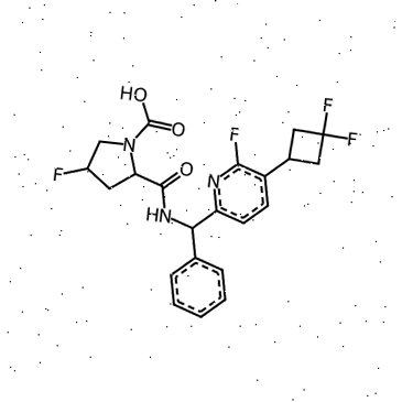 O=C(NC(c1ccccc1)c1ccc(C2CC(F)(F)C2)c(F)n1)C1CC(F)CN1C(=O)O